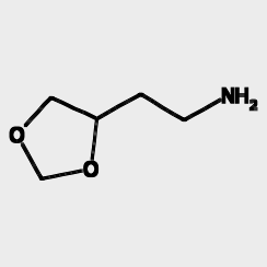 NCCC1COCO1